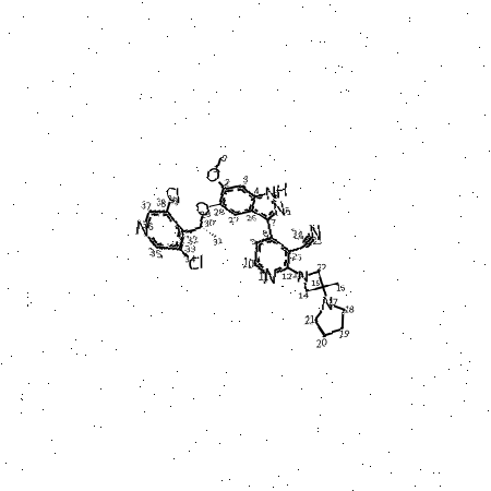 COc1cc2[nH]nc(-c3ccnc(N4CC(C)(N5CCCC5)C4)c3C#N)c2cc1O[C@H](C)c1c(Cl)cncc1Cl